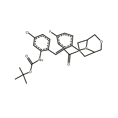 CC(C)(C)OC(=O)Nc1cc(Cl)ccc1/C=C/C(=O)N1CC2COCC(C1)N2Cc1ccc(F)cc1